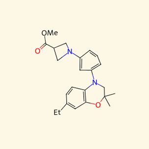 CCc1ccc2c(c1)OC(C)(C)CN2c1cccc(N2CC(C(=O)OC)C2)c1